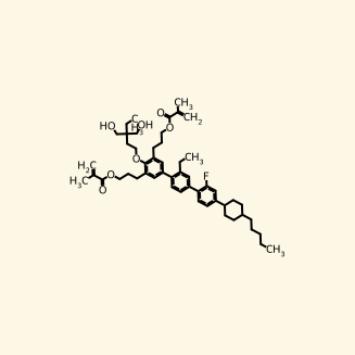 C=C(C)C(=O)OCCCc1cc(-c2ccc(-c3ccc(C4CCC(CCCCC)CC4)cc3F)cc2CC)cc(CCCOC(=O)C(=C)C)c1OCCC(CC)(CO)CO